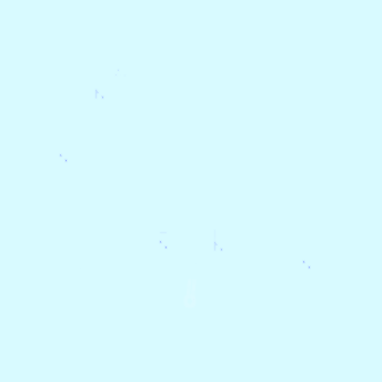 CC(=O)N1CCN(CC2Cc3cccc(NC(=O)Nc4ccc(C)nc4)c3C2)CC1